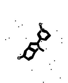 Cn1c(-c2ccc[n+]([O-])c2)cc2cc(Cl)ccc21